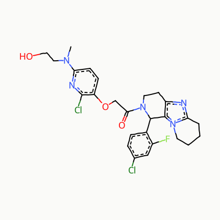 CN(CCO)c1ccc(OCC(=O)N2CCc3nc4n(c3C2c2ccc(Cl)cc2F)CCCC4)c(Cl)n1